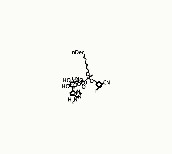 CCCCCCCCCCCCCCCCCO[C@@H](C)[C@H](COP(=O)(O)OC[C@@]1(C#N)O[C@@H](c2ccc3c(N)ncnn23)[C@H](O)[C@@H]1O)OCc1cc(F)cc(C#N)c1